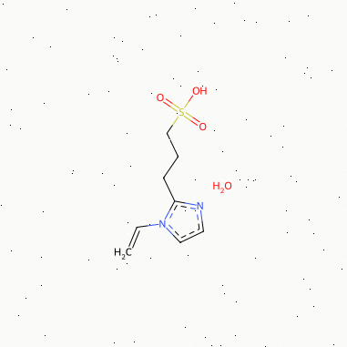 C=Cn1ccnc1CCCS(=O)(=O)O.O